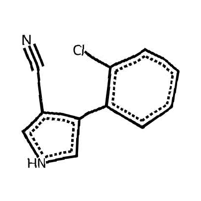 N#Cc1c[nH]cc1-c1ccccc1Cl